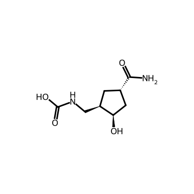 NC(=O)[C@H]1C[C@H](CNC(=O)O)[C@H](O)C1